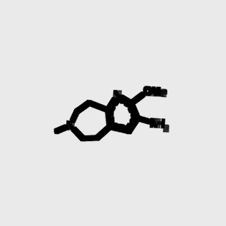 COc1nc2c(cc1N)CCN(C)CC2